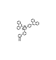 C1=CC(c2cccc(-c3cc(-c4ccc(-c5cc6ccccc6c6ccccc56)cc4)nc(-c4cc5ccccc5c5ccccc45)n3)c2)=CNC1